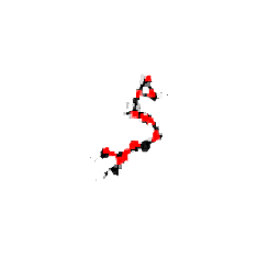 Cc1c(COc2cc(OCc3cncc(C#N)c3)c(CN[C@@H](CS(=O)(=O)O)C(=O)NCCS(=O)(=O)O)cc2Cl)cccc1-c1cccc(OCc2cn(CCCN3CCN(C(=O)[C@H](CS(=O)(=O)O)NC(=O)[C@H](CS(=O)(=O)O)NC(=O)CC[C@H](C(=O)O)N4CCN(C5(C(=O)O)C=CN5)CCN(C5(C(=O)O)C=CN5)CC4)CC3)nn2)c1C